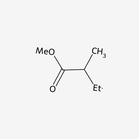 C[CH]C(C)C(=O)OC